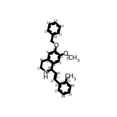 COc1cc2c(cc1OCc1ccccc1)CCNC2/C=C/c1ccccc1C